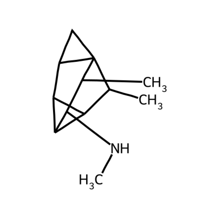 CNC1C2C3C2C2CC2(C1C)C3C